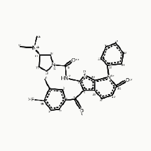 Cc1cc(C(=O)c2c(NC(=O)N3CC[C@@H](N(C)C)C3)sc3c2ccc(=O)n3-c2ccccc2)ccc1F